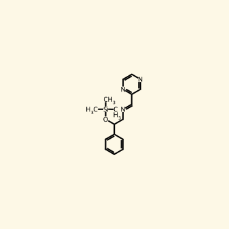 C[Si](C)(C)OC(CN=Cc1cnccn1)c1ccccc1